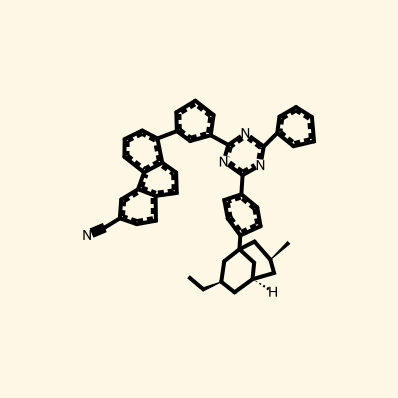 CC[C@@H]1C[C@@H]2C[C@H](C)CC(c3ccc(-c4nc(-c5ccccc5)nc(-c5cccc(-c6cccc7c6ccc6ccc(C#N)cc67)c5)n4)cc3)(C1)C2